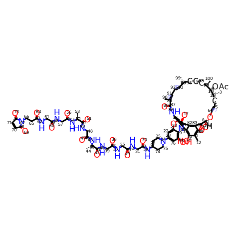 CC(=O)O[C@@H]1[C@H](C)C/C=C/O[C@H]2Oc3c(C)c(O)c4c(=O)c(c5oc6cc(N7CCC(NC(=O)CNC(=O)CNC(=O)CNC(=O)[C@H](C)NC(=O)CNC(=O)[C@H](C)NC(=O)CNC(=O)CNC(=O)CCN8C(=O)C=CC8=O)CC7)cc(O)c6nc-5c4c3C2=O)NC(=O)/C(C)=C\C=C\[C@H](C)CCC[C@H]1C